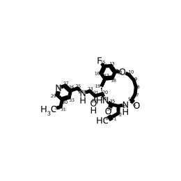 C#CCC1NC(=O)CCCCOc2cc(F)cc(c2)C[C@@H]([C@H](O)CNCc2cncc(CC)c2)NC1=O